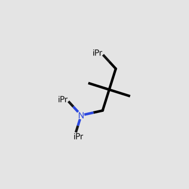 CC(C)CC(C)(C)CN(C(C)C)C(C)C